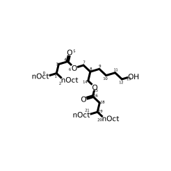 CCCCCCCCC(CCCCCCCC)CC(=O)OCC(CCCCO)COC(=O)CC(CCCCCCCC)CCCCCCCC